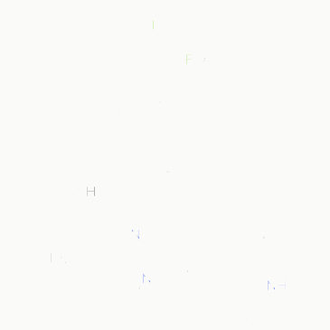 CC(C)n1nc2c(c1-c1ccc(C(F)(F)F)cc1)CCNCC2